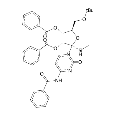 C[SiH](C)[C@@]1(n2ccc(NC(=O)c3ccccc3)nc2=O)O[C@H](COC(C)(C)C)[C@@H](OC(=O)c2ccccc2)[C@H]1OC(=O)c1ccccc1